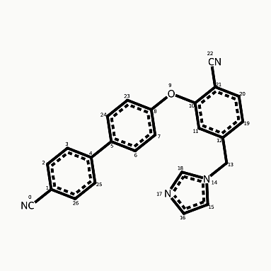 N#Cc1ccc(-c2ccc(Oc3cc(Cn4ccnc4)ccc3C#N)cc2)cc1